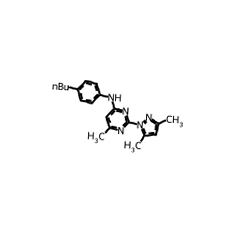 CCCCc1ccc(Nc2cc(C)nc(-n3nc(C)cc3C)n2)cc1